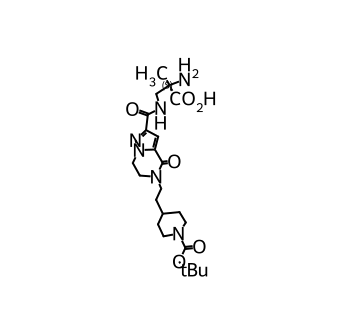 CC(C)(C)OC(=O)N1CCC(CCN2CCn3nc(C(=O)NC[C@](C)(N)C(=O)O)cc3C2=O)CC1